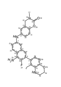 Cc1c(-c2cc3cc(Nc4ccc5c(c4)CN(C)C(=O)O5)ncc3c(N)c2F)cnc2c1NCCO2